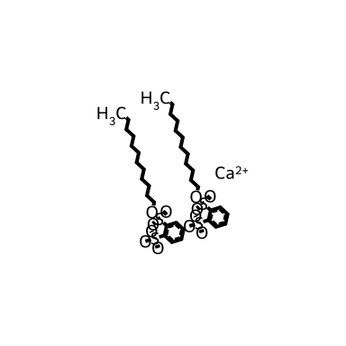 CCCCCCCCCCCCOS(=O)(=O)c1ccccc1S(=O)(=O)[O-].CCCCCCCCCCCCOS(=O)(=O)c1ccccc1S(=O)(=O)[O-].[Ca+2]